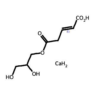 O=C(O)/C=C/CC(=O)OCC(O)CO.[CaH2]